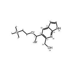 C[Si](C)(C)CCOC(Br)c1cc2cc[nH]c2nc1CO